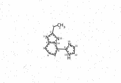 CCc1nc2cccc(-c3ncc[nH]3)n2n1